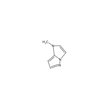 Cn1ccn2nc[c]c12